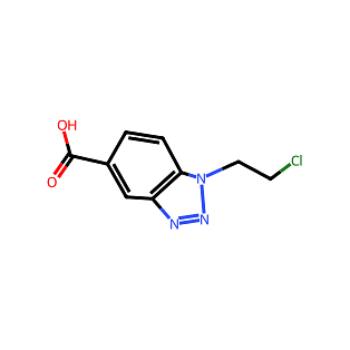 O=C(O)c1ccc2c(c1)nnn2CCCl